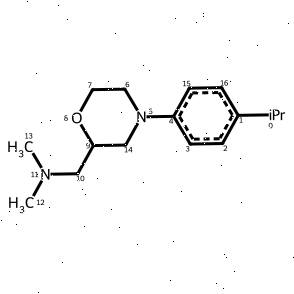 CC(C)c1ccc(N2CCOC(CN(C)C)C2)cc1